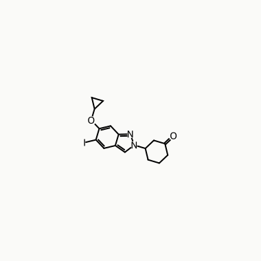 O=C1CCCC(n2cc3cc(I)c(OC4CC4)cc3n2)C1